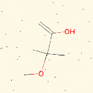 C=C(O)C(C)(C)OC